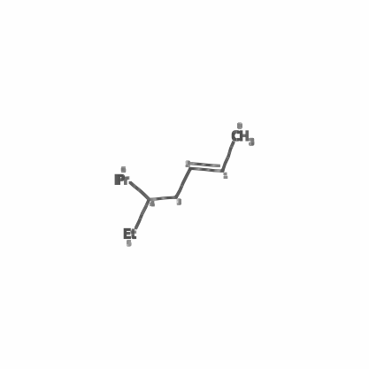 C/C=C/CC(CC)C(C)C